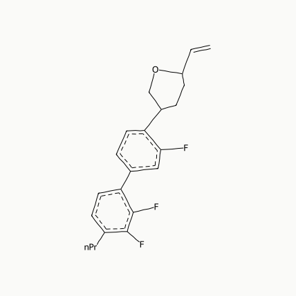 C=CC1CCC(c2ccc(-c3ccc(CCC)c(F)c3F)cc2F)CO1